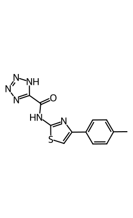 Cc1ccc(-c2csc(NC(=O)c3nnn[nH]3)n2)cc1